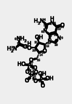 NC(N)=O.Nc1nc2c(ncn2[C@@H]2O[C@H](COP(=O)(O)OP(=O)(O)OP(=O)(O)O)[C@@H](O)[C@H]2O)c(=O)[nH]1